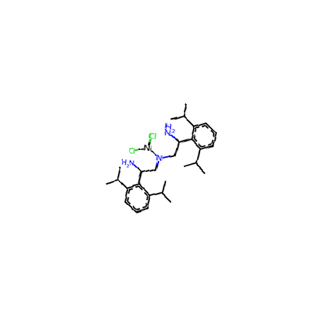 CC(C)c1cccc(C(C)C)c1C(N)C[N](CC(N)c1c(C(C)C)cccc1C(C)C)[Ni]([Cl])[Cl]